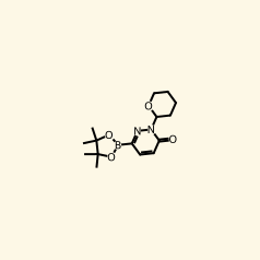 CC1(C)OB(c2ccc(=O)n(C3CCCCO3)n2)OC1(C)C